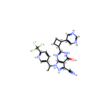 CC(c1ccc(C(F)(F)F)nc1)n1nc(C#N)c2c(=O)[nH]c(C3CCC3c3cncnc3)nc21